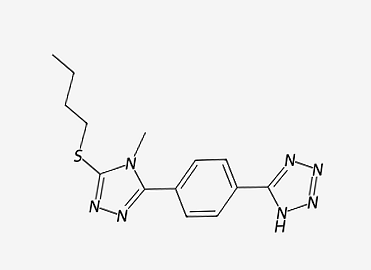 CCCCSc1nnc(-c2ccc(-c3nnn[nH]3)cc2)n1C